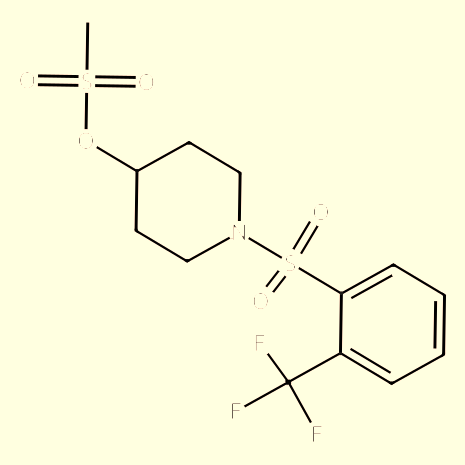 CS(=O)(=O)OC1CCN(S(=O)(=O)c2ccccc2C(F)(F)F)CC1